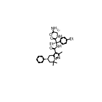 CCc1ccc([C@](CC)(NC(=O)c2c(C)nn3c2C[C@H](c2ccccc2)CC3(C)C)C(=O)N[C@@H](C)C(N)=O)cc1